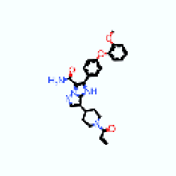 C=CC(=O)N1CCC(c2cnn3c(C(N)=O)c(-c4ccc(Oc5ccccc5OC)cc4)[nH]c23)CC1